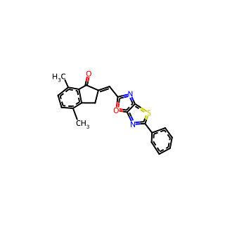 Cc1ccc(C)c2c1C/C(=C\c1nc3sc(-c4ccccc4)nc3o1)C2=O